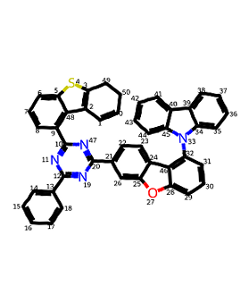 C1=Cc2c(sc3cccc(-c4nc(-c5ccccc5)nc(-c5ccc6c(c5)oc5cccc(-n7c8ccccc8c8ccccc87)c56)n4)c23)CC1